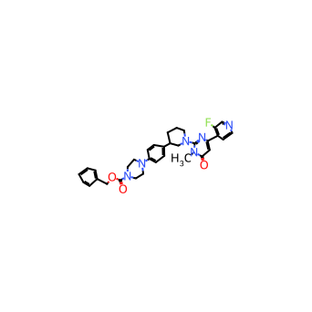 Cn1c(N2CCCC(c3ccc(N4CCN(C(=O)OCc5ccccc5)CC4)cc3)C2)nc(-c2ccncc2F)cc1=O